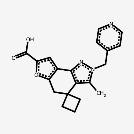 Cc1c2c(nn1Cc1ccncc1)-c1cc(C(=O)O)oc1CC21CCC1